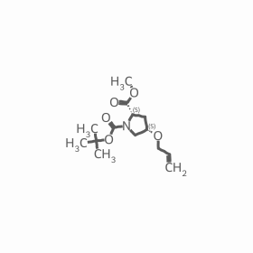 C=CCO[C@H]1C[C@@H](C(=O)OC)N(C(=O)OC(C)(C)C)C1